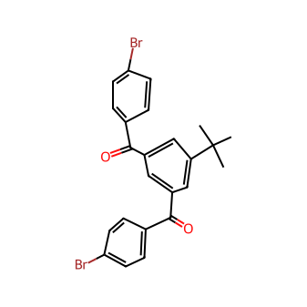 CC(C)(C)c1cc(C(=O)c2ccc(Br)cc2)cc(C(=O)c2ccc(Br)cc2)c1